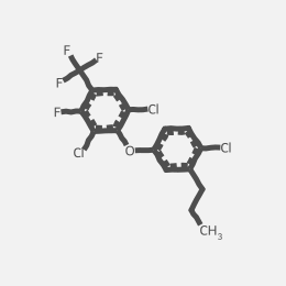 CCCc1cc(Oc2c(Cl)cc(C(F)(F)F)c(F)c2Cl)ccc1Cl